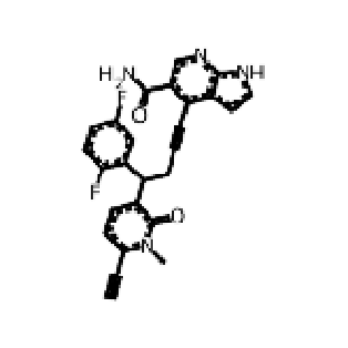 C#Cc1ccc(C(CC#Cc2c(C(N)=O)cnc3[nH]ccc23)c2cc(F)ccc2F)c(=O)n1C